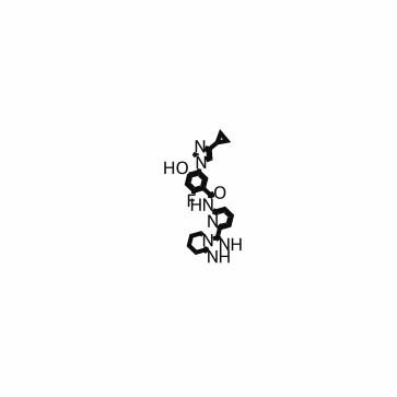 N=C1CCCCN1C(=N)c1cccc(NC(=O)c2cc(-n3cnc(C4CC4)c3)c(O)cc2F)n1